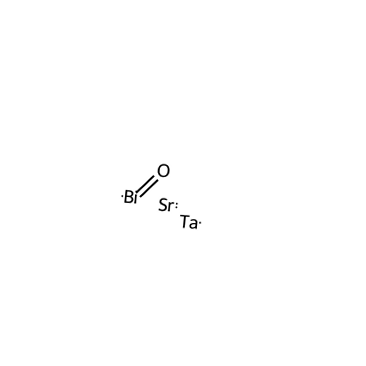 [O]=[Bi].[Sr].[Ta]